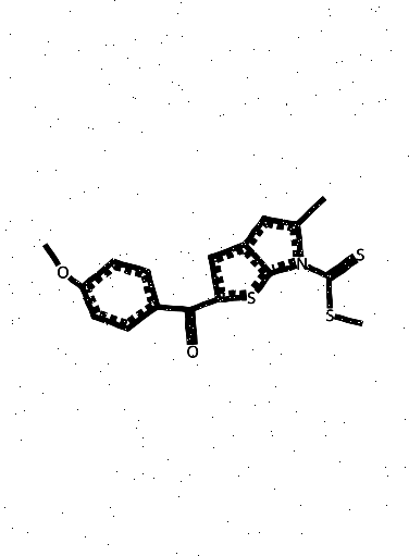 COc1ccc(C(=O)c2cc3cc(C)n(C(=S)SC)c3s2)cc1